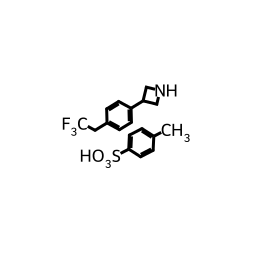 Cc1ccc(S(=O)(=O)O)cc1.FC(F)(F)Cc1ccc(C2CNC2)cc1